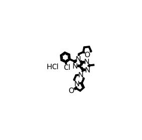 Cc1nc(N2CCN3C(=O)CC=C3C2)c2nc(-c3ccccc3Cl)n(CC3CCCO3)c2n1.Cl